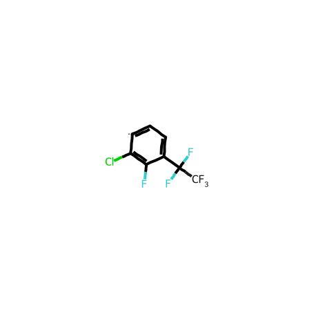 Fc1c(Cl)[c]ccc1C(F)(F)C(F)(F)F